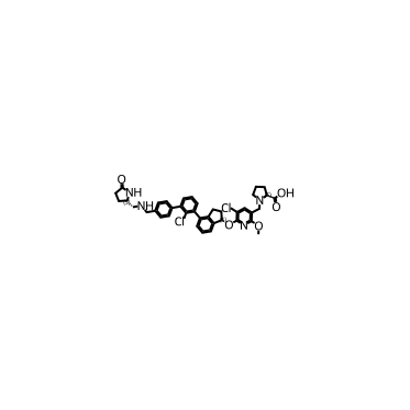 COc1nc(O[C@H]2CCc3c(-c4cccc(-c5ccc(CNC[C@@H]6CCC(=O)N6)cc5)c4Cl)cccc32)c(Cl)cc1CN1CCC[C@H]1C(=O)O